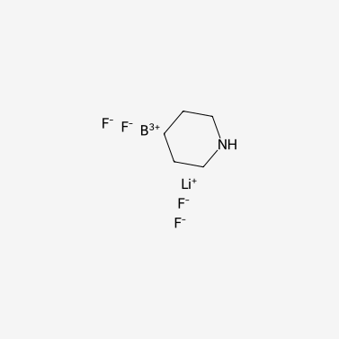 C1CCNCC1.[B+3].[F-].[F-].[F-].[F-].[Li+]